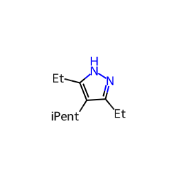 CCCC(C)c1c(CC)n[nH]c1CC